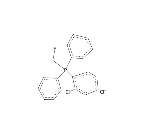 FC[P+](c1ccccc1)(c1ccccc1)c1ccccc1Cl.[Cl-]